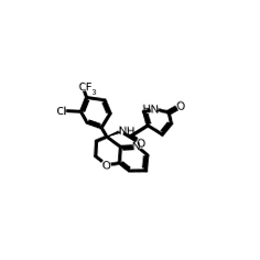 O=C(N[C@]1(c2ccc(C(F)(F)F)c(Cl)c2)CCOc2cccnc21)c1ccc(=O)[nH]c1